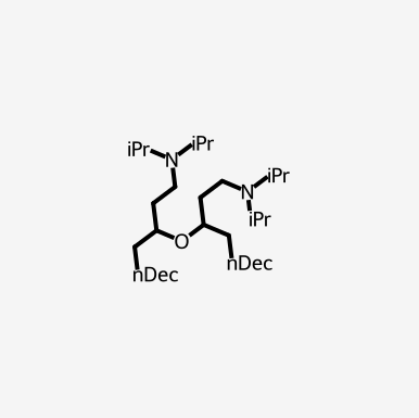 CCCCCCCCCCCC(CCN(C(C)C)C(C)C)OC(CCCCCCCCCCC)CCN(C(C)C)C(C)C